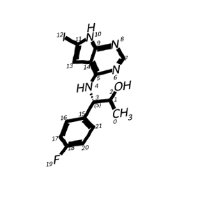 CC(O)[C@@H](Nc1ncnc2[nH]c(I)cc12)c1ccc(F)cc1